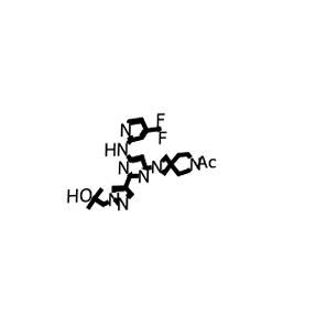 CC(=O)N1CCC2(CC1)CN(c1cc(Nc3cc(C(F)F)ccn3)nc(-c3cnn(CC(C)(C)O)c3)n1)C2